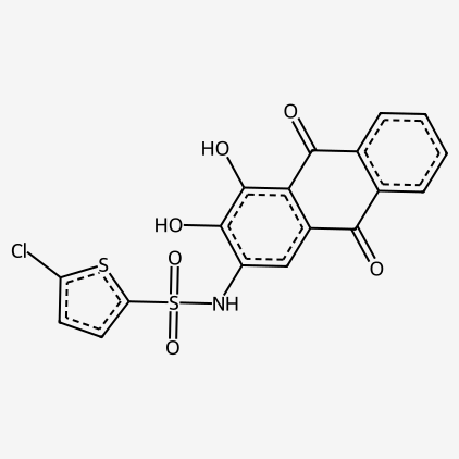 O=C1c2ccccc2C(=O)c2c1cc(NS(=O)(=O)c1ccc(Cl)s1)c(O)c2O